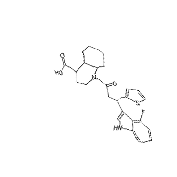 O=C(O)C1CCN(C(=O)CC(c2cccs2)c2c[nH]c3cccc(F)c23)C2CCCCC12